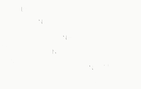 O=S(=O)(Cc1ccccc1)N1CCC(c2nc(-c3ccc4c(c3)OCO4)c(-c3cccc(Br)n3)[nH]2)CC1